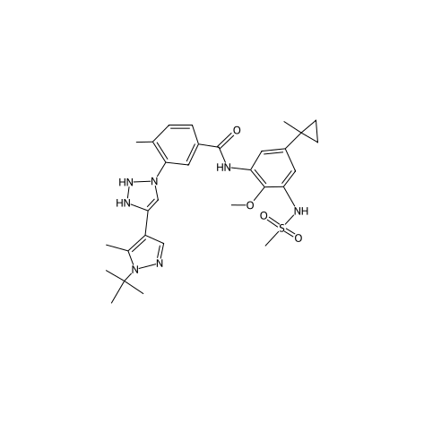 COc1c(NC(=O)c2ccc(C)c(N3C=C(c4cnn(C(C)(C)C)c4C)NN3)c2)cc(C2(C)CC2)cc1NS(C)(=O)=O